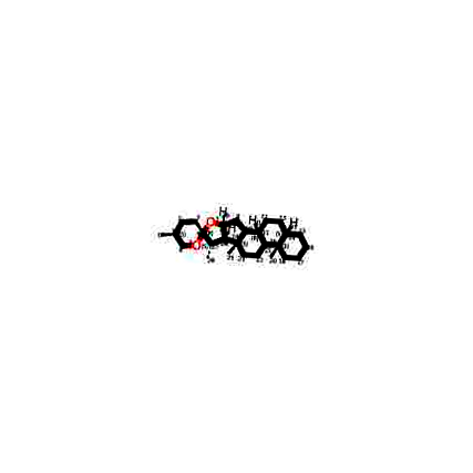 C[C@H]1CC[C@@]2(OC1)O[C@H]1CC3[C@@H]4CC[C@@H]5CCCC[C@]5(C)C4CC[C@]3(C)[C@H]1[C@@H]2C